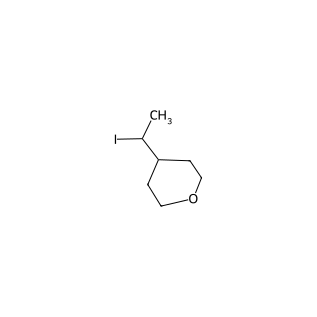 CC(I)C1CCOCC1